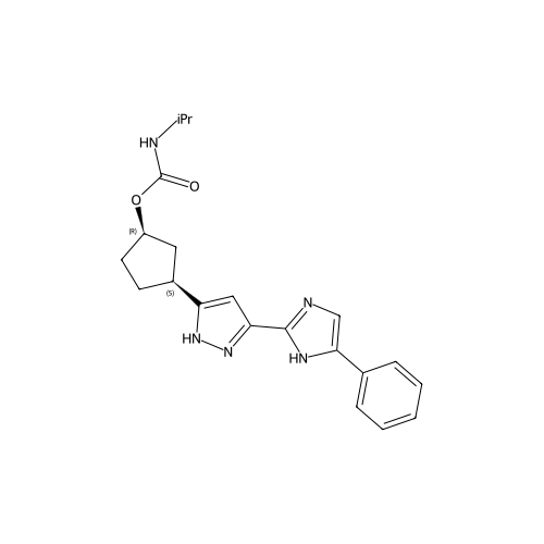 CC(C)NC(=O)O[C@@H]1CC[C@H](c2cc(-c3ncc(-c4ccccc4)[nH]3)n[nH]2)C1